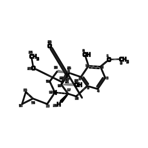 COc1ccc2c(c1O)[C@@]13CCN(CC4CC4)[C@@H](C2)[C@@]1(O)CC(OC)C(=O)C3